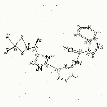 Cc1ccc(-c2noc([C@H](C)N3CC(F)(F)C3)n2)cc1NC(=O)c1cnc2ccccn12